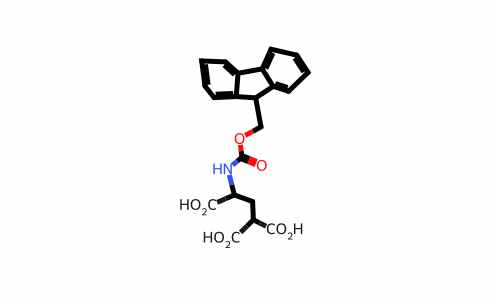 O=C(NC(CC(C(=O)O)C(=O)O)C(=O)O)OCC1c2ccccc2-c2ccccc21